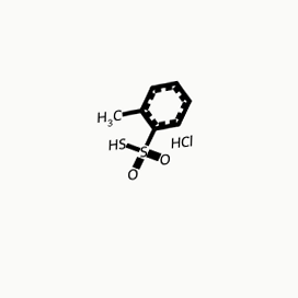 Cc1ccccc1S(=O)(=O)S.Cl